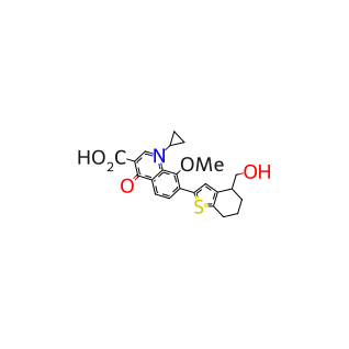 COc1c(-c2cc3c(s2)CCCC3CO)ccc2c(=O)c(C(=O)O)cn(C3CC3)c12